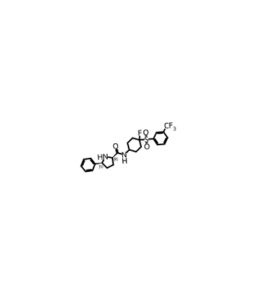 O=C(NC1CCC(F)(S(=O)(=O)c2cccc(C(F)(F)F)c2)CC1)[C@H]1CC[C@@H](c2ccccc2)N1